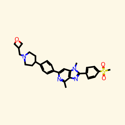 Cc1nc(-c2ccc(C3CCN(CC4COC4)CC3)cc2)cc2c1nc(-c1ccc(S(C)(=O)=O)cc1)n2C